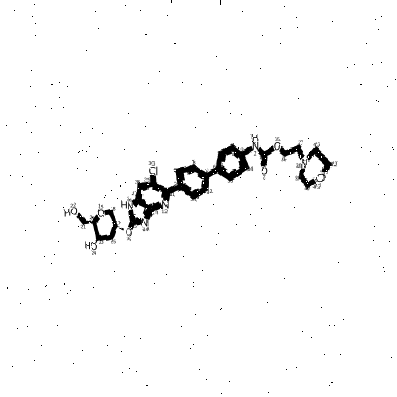 O=C(Nc1ccc(-c2ccc(-c3nc4nc(O[C@H]5CO[C@H](CO)[C@@H](O)C5)[nH]c4cc3Cl)cc2)cc1)OCCN1CCOCC1